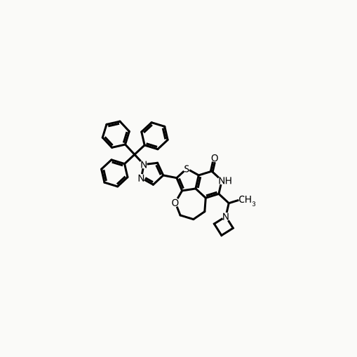 CC(c1[nH]c(=O)c2sc(-c3cnn(C(c4ccccc4)(c4ccccc4)c4ccccc4)c3)c3c2c1CCCO3)N1CCC1